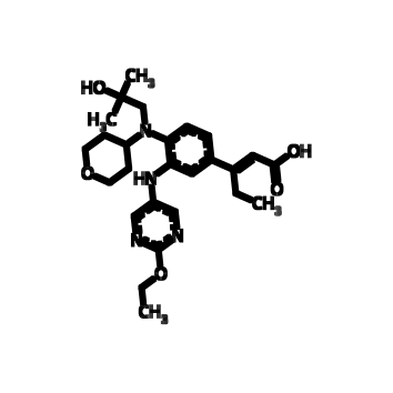 CCOc1ncc(Nc2cc(/C(=C/C(=O)O)CC)ccc2N(CC(C)(C)O)C2CCOCC2)cn1